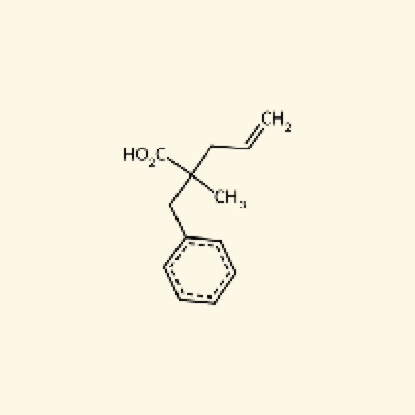 C=CCC(C)(Cc1ccccc1)C(=O)O